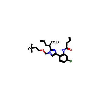 C=CCC(=O)Nc1cc(F)ccc1-c1cn(COCC[Si](C)(C)C)c(C(CC=C)C(=O)OCC)n1